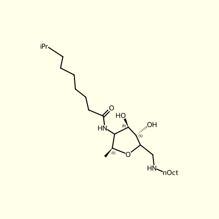 CCCCCCCCNCC1O[C@@H](C)C(NC(=O)CCCCCCC(C)C)[C@@H](O)[C@@H]1O